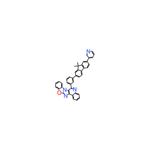 CC1(C)c2cc(-c3cccnc3)ccc2-c2ccc(-c3cccc(-c4nc5ccccc5c5nc6oc7ccccc7n6c45)c3)cc21